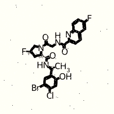 C[C@H](NC(=O)[C@@H]1C[C@@H](F)CN1C(=O)CNC(=O)c1ccc2cc(F)ccc2n1)c1cc(Br)c(Cl)cc1O